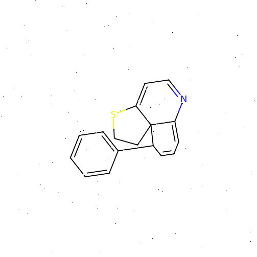 C1=CC(c2ccccc2)C23CCSC2=CC=NC3=C1